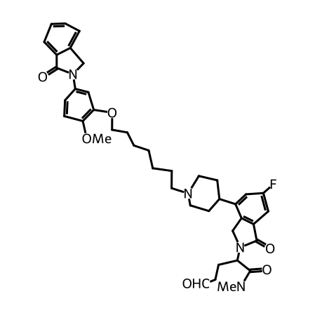 CNC(=O)C(CCC=O)N1Cc2c(cc(F)cc2C2CCN(CCCCCCCOc3cc(N4Cc5ccccc5C4=O)ccc3OC)CC2)C1=O